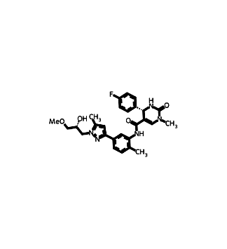 COC[C@H](O)Cn1nc(-c2ccc(C)c(NC(=O)C3=CN(C)C(=O)N[C@H]3c3ccc(F)cc3)c2)cc1C